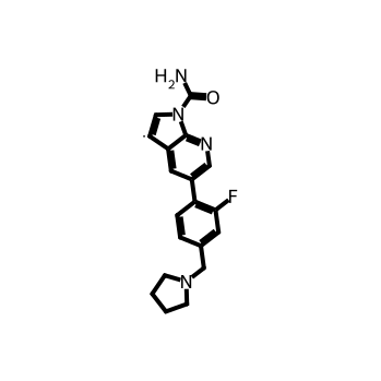 NC(=O)n1c[c]c2cc(-c3ccc(CN4CCCC4)cc3F)cnc21